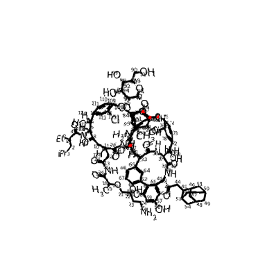 CC[C@H](CC(C)C)C(=O)N[C@H]1C(=O)C[C@@H](CC(=O)NC(=O)C(C)OCCCCN)C(=O)N[C@H]2C(=O)C[C@H]3C(=O)N[C@H](C(=O)N[C@H](C(=O)CC4C5CC6CC(C5)CC4C6)c4cc(O)cc(O)c4-c4cc3ccc4O)[C@H](O)c3ccc(c(Cl)c3)Oc3cc2cc(c3O[C@@H]2O[C@H](CO)[C@@H](O)[C@H](O)[C@H]2O[C@H]2C[C@](C)(N)[C@H](O)[C@H](C)O2)Oc2ccc(cc2Cl)[C@H]1O